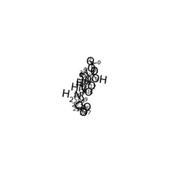 CC(=O)OCC1=C(C(=O)O)N2C(=O)[C@@H](NC(=O)C(N)Cc3cccc4c3OCO4)[C@H]2SC1